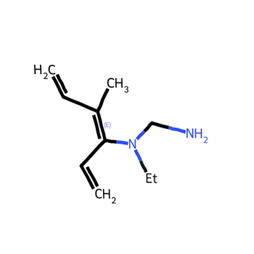 C=C/C(C)=C(\C=C)N(CC)CN